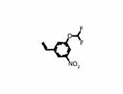 C=Cc1cc(OC(F)F)cc([N+](=O)[O-])c1